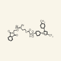 Cc1ccc(-c2cc(C(F)(F)F)nn2-c2ccc(S(=O)(=O)NC(=O)OCCN(C(C)C)[NH+]([O-])OCN3C(=O)c4ccccc4C3=O)cc2)cc1